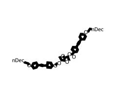 CCCCCCCCCCCCOc1ccc(C#Cc2ccc(OCO[C@H]3COC4C3OC[C@H]4OC(=O)c3ccc(C#Cc4ccc(OCCCCCCCCCCCC)cc4)cc3)cc2)cc1